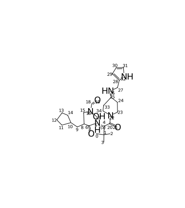 CC(C)(C)[C@H](NC(=O)C(CC1CCCC1)CN(O)C=O)C(=O)N1CCC(NCc2ccc[nH]2)CC1